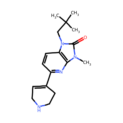 Cn1c(=O)n(CC(C)(C)C)c2ccc(C3=CCNCC3)nc21